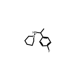 CC(NN1CCCCC1)c1ccc(F)cc1